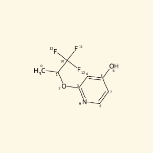 CC(Oc1cc(O)ccn1)C(F)(F)F